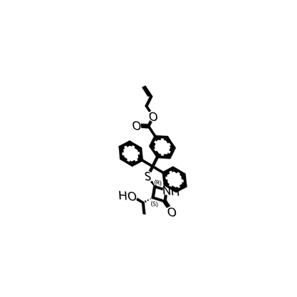 C=CCOC(=O)c1cccc(C(S[C@H]2NC(=O)[C@@H]2C(C)O)(c2ccccc2)c2ccccc2)c1